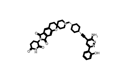 Nc1nnc(-c2ccccc2O)cc1C#C[C@H]1CC[C@@H](CN2CCC3(CCc4cc5c(cc4O3)C(=O)N(C3CCC(=O)NC3=O)C5=O)CC2)CC1